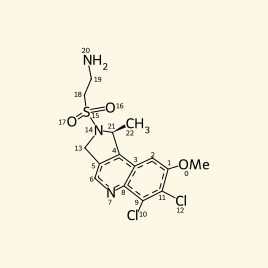 COc1cc2c3c(cnc2c(Cl)c1Cl)CN(S(=O)(=O)CCN)[C@H]3C